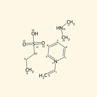 C=C[n+]1ccccc1.CCCS(=O)(=O)O.CNC